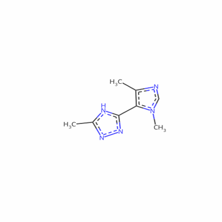 Cc1nnc(-c2c(C)ncn2C)[nH]1